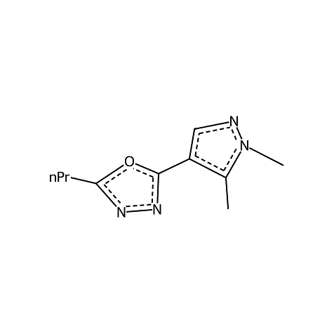 CCCc1nnc(-c2cnn(C)c2C)o1